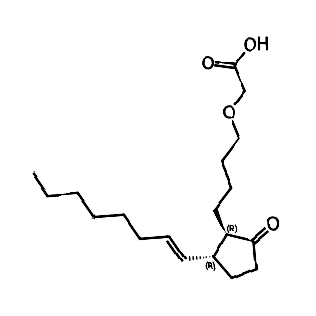 CCCCCCC=C[C@H]1CCC(=O)[C@@H]1CCCCOCC(=O)O